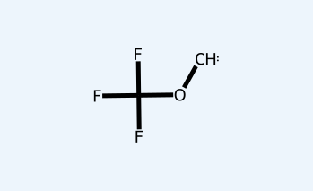 [CH]OC(F)(F)F